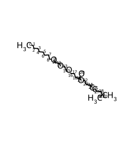 CCCCCCCCCOCCOCCOCCCC(=O)OCCCCCCCC(C)C